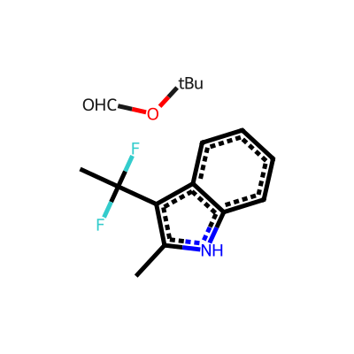 CC(C)(C)OC=O.Cc1[nH]c2ccccc2c1C(C)(F)F